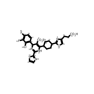 CCOC(=O)C1=C(C2CCC(c3nc(CCC(=O)O)co3)CC2)NC(c2nccs2)=NC1c1ccc(F)c(F)c1Cl